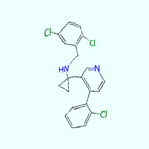 Clc1ccc(Cl)c(CNC2(c3cnccc3-c3ccccc3Cl)CC2)c1